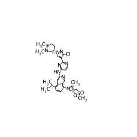 CC(C)c1ccc(N2C[C@H](CS(C)(=O)=O)[C@H]2C)c2cnc(Nc3ccnc(-c4cn([C@H]5CC[C@@H](C)N(C)C5)nc4Cl)n3)cc12